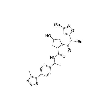 Cc1ncsc1-c1ccc(C(C)NC(=O)C2CC(O)CN2C(=O)C(c2cc(C(C)(C)C)no2)C(C)(C)C)cc1